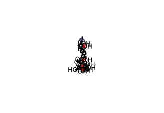 C/C=C(\C)C(=O)O[C@H]1[C@H](O)[C@]2(CO)[C@H](O)C[C@]3(C)C(=CCC4[C@@]5(C)CC[C@H](O[C@@H]6O[C@H](C(=O)O)[C@@H](O[C@@H]7O[C@H](CO)[C@@H](O)[C@H](O)[C@H]7O)[C@H](O)[C@H]6O[C@@H]6OC(CO)[C@@H](O)[C@H](O)[C@H]6O)[C@](C)(CO)C5CC[C@]43C)[C@@H]2CC1(C)C